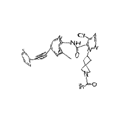 Cc1cc(C#Cc2cccs2)cnc1NC(=O)c1c(Cl)cnn1C1CC2(C1)CN(C(=O)C(C)C)C2